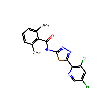 COc1cccc(OC)c1C(=O)Nc1nnc(-c2ncc(Br)cc2Cl)s1